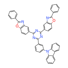 c1ccc(-c2nc3cc(-c4nc(-c5cccc(-n6c7ccccc7c7ccccc76)c5)nc(-c5ccc6oc(-c7ccccc7)nc6c5)n4)ccc3o2)cc1